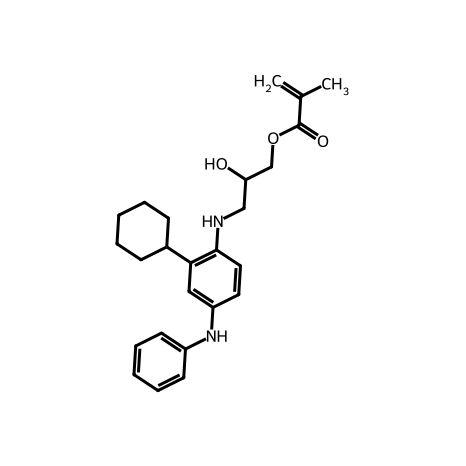 C=C(C)C(=O)OCC(O)CNc1ccc(Nc2ccccc2)cc1C1CCCCC1